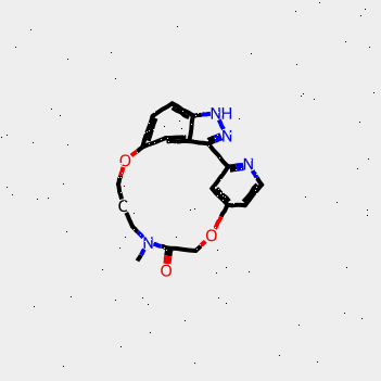 CN1CCCOc2ccc3[nH]nc(c3c2)-c2cc(ccn2)OCC1=O